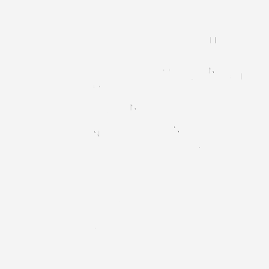 CN(C)C(=O)C1CCN1c1nc(=O)n(-c2ccccc2)c2cc(Cl)ccc12